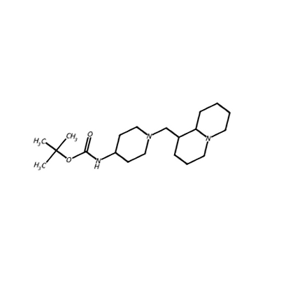 CC(C)(C)OC(=O)NC1CCN(CC2CCCN3CCCCC23)CC1